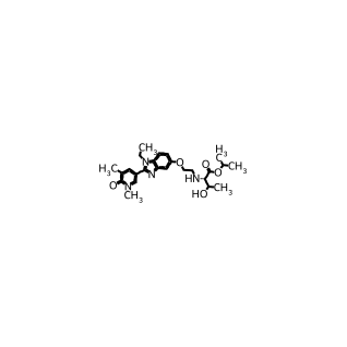 CCn1c(-c2cc(C)c(=O)n(C)c2)nc2cc(OCCN[C@H](C(=O)OC(C)C)C(C)O)ccc21